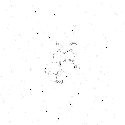 CC(=O)OC1CC(C)=C2C1C(C)CC[C@H]2/C=C(\C)C(=O)O